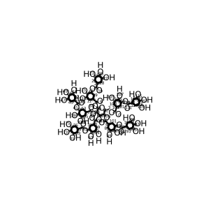 O=C(OC[C@@H]1O[C@@H](OC(=O)c2cc(O)c(O)c(OC(=O)c3cc(O)c(O)c(O)c3)c2)[C@@H](OC(=O)c2cc(O)c(O)c(OC(=O)c3cc(O)c(O)c(O)c3)c2)[C@H](OC(=O)c2cc(O)c(O)c(OC(=O)c3cc(O)c(O)c(O)c3)c2)[C@H]1OC(=O)c1cc(O)c(O)c(OC(=O)c2cc(O)c(O)c(O)c2)c1)c1cc(O)c(O)c(OC(=O)c2cc(O)c(O)c(O)c2)c1